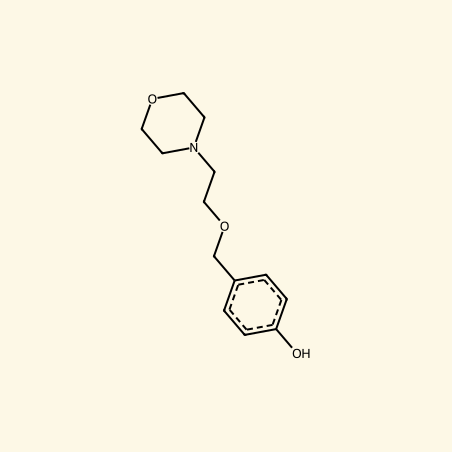 Oc1ccc(COCCN2CCOCC2)cc1